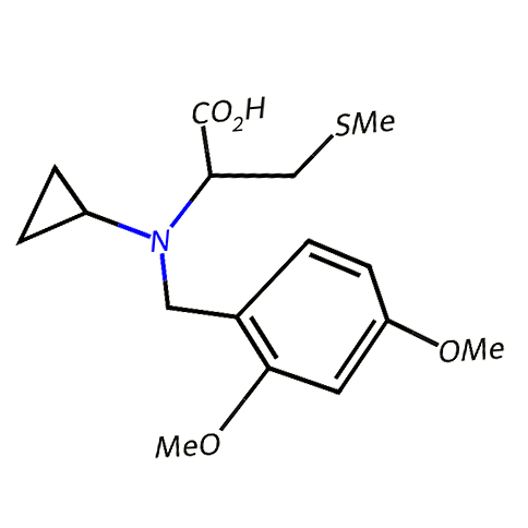 COc1ccc(CN(C2CC2)C(CSC)C(=O)O)c(OC)c1